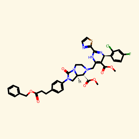 COC(=O)C1=C(CN2CCN3C(=O)N(c4ccc(CCC(=O)OCc5ccccc5)cc4)C[C@@H]3[C@H]2C(=O)OC)NC(c2nccs2)=N[C@H]1c1ccc(F)cc1Cl